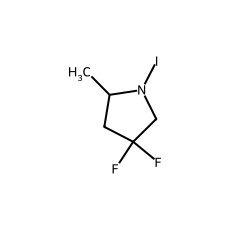 CC1CC(F)(F)CN1I